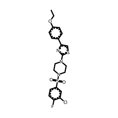 CCOc1ccc(-c2csc(N3CCN(S(=O)(=O)c4ccc(F)c(Cl)c4)CC3)n2)cc1